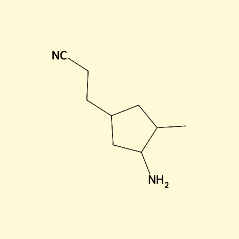 CC1CC(CCC#N)CC1N